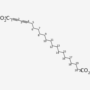 O=C(O)C#CC#CCCCCCCCCCCCCCCCCC(=O)O